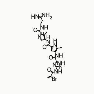 C=C(Br)C(=O)Nc1n[nH]c(C(=O)Nc2cc(C(=O)Nc3cnn(C(=O)NCCC(=N)N)c3C)[nH]c2C)n1